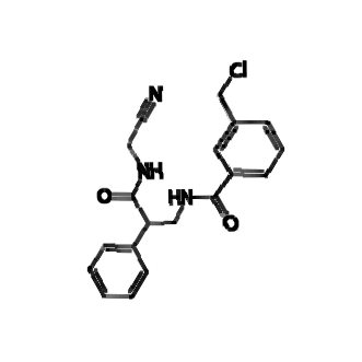 N#CCNC(=O)C(CNC(=O)c1cccc(CCl)c1)c1ccccc1